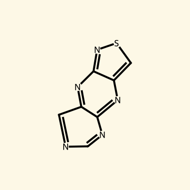 c1ncc2nc3nscc3nc2n1